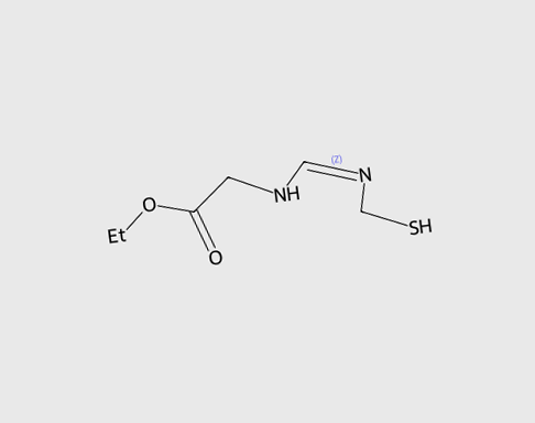 CCOC(=O)CN/C=N\CS